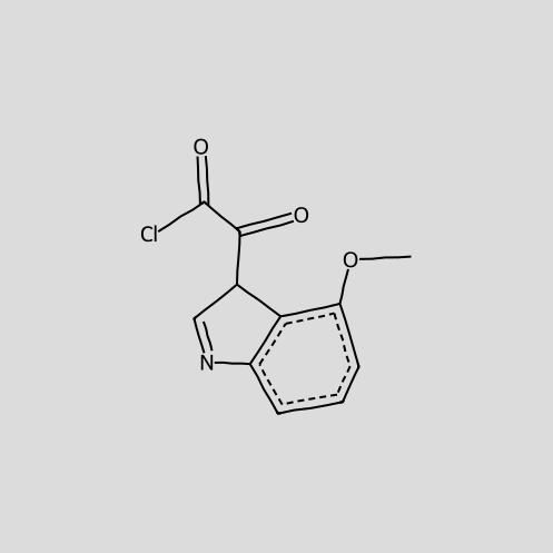 COc1cccc2c1C(C(=O)C(=O)Cl)C=N2